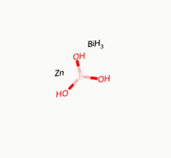 OB(O)O.[BiH3].[Zn]